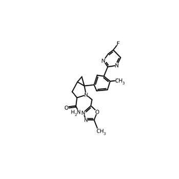 Cc1nnc(CN2C(C(N)=O)CC3CC32c2ccc(C)c(-c3ncc(F)cn3)c2)o1